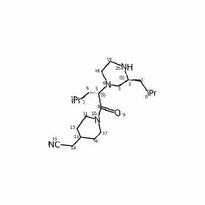 CC(C)C[C@H]1CN([C@@H](CC(C)C)C(=O)N2CCC(CC#N)CC2)CCN1